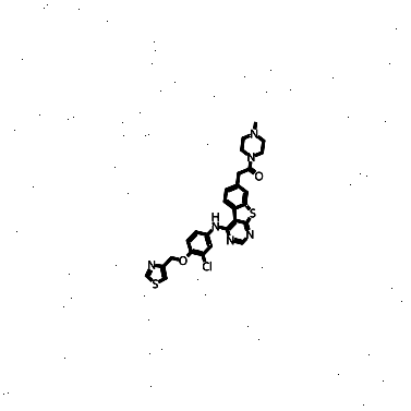 CN1CCN(C(=O)Cc2ccc3c(c2)sc2ncnc(Nc4ccc(OCc5cscn5)c(Cl)c4)c23)CC1